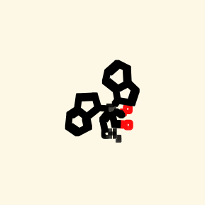 C[CH]=[Ti]([CH]=O)([CH]=O)([CH]1C=Cc2ccccc21)[CH]1C=Cc2ccccc21